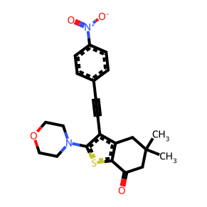 CC1(C)CC(=O)c2sc(N3CCOCC3)c(C#Cc3ccc([N+](=O)[O-])cc3)c2C1